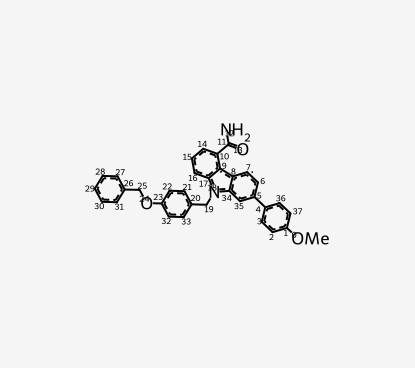 COc1ccc(-c2c[c]c3c4c(C(N)=O)cccc4n(Cc4ccc(OCc5ccccc5)cc4)c3c2)cc1